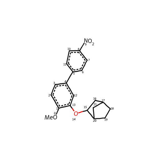 COc1ccc(-c2ccc([N+](=O)[O-])cc2)cc1OC1CC2CCC1C2